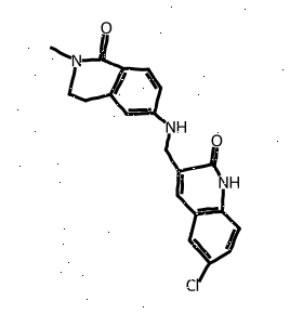 CN1CCc2cc(NCc3cc4cc(Cl)ccc4[nH]c3=O)ccc2C1=O